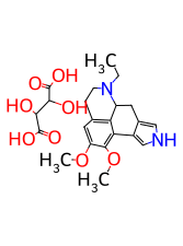 CCN1CCc2cc(OC)c(OC)c3c2C1Cc1c[nH]cc1-3.O=C(O)C(O)C(O)C(=O)O